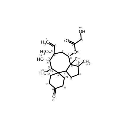 C=C[C@@]1(C)C[C@@H](OC(=O)CO)C2(C)C(C)CCC2C2(CCC(=O)CC2)[C@@H](C)[C@@H]1O